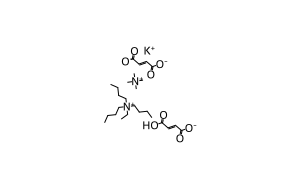 CCCC[N+](CC)(CCCC)CCCC.C[N+](C)(C)C.O=C([O-])C=CC(=O)O.O=C([O-])C=CC(=O)[O-].[K+]